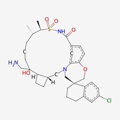 C[C@@H]1[C@@H](C)CCC[C@@](O)(CN)[C@@H]2CC[C@H]2CN2C[C@@]3(CCCc4cc(Cl)ccc43)COc3ccc(cc32)C(=O)NS1(=O)=O